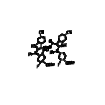 COC(=O)c1c(N(c2ccc(OC)c(F)c2)C(C)C)[nH]c2cc(C#N)ccc12.COc1cc2c(=O)c3c4ccc(C#N)cc4[nH]c3n(C(C)C)c2cc1F